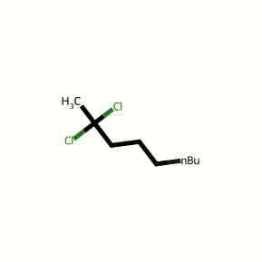 CCCCCCCC(C)(Cl)Cl